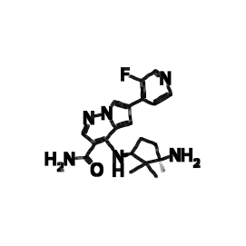 CC1(C)[C@@H](Nc2c(C(N)=O)cnn3cc(-c4ccncc4F)cc23)CC[C@@]1(C)N